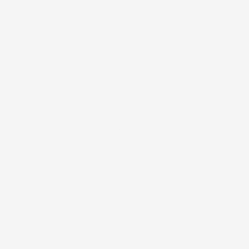 COC1CCC(CC[C]=O)CC1